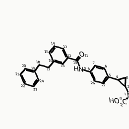 O=C(O)NC1CC1c1ccc(NC(=O)c2cccc(CCc3ccccc3)c2)cc1